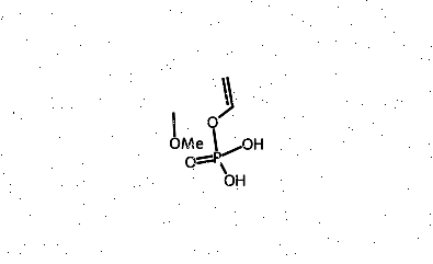 C=COP(=O)(O)O.COC